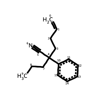 C=CCCC(C#N)(CCC)c1ccccc1